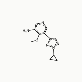 COc1c(N)cncc1-c1cnn(C2CC2)n1